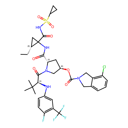 CC[C@@H]1CC1(NC(=O)[C@@H]1C[C@@H](OC(=O)N2Cc3cccc(Cl)c3C2)CN1C(=O)[C@@H](Nc1ccc(F)c(C(F)(F)F)c1)C(C)(C)C)C(=O)NS(=O)(=O)C1CC1